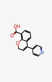 O=C(O)c1cccc2c1OCC=C2c1ccncc1